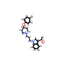 CC(=O)c1cn(CCCN2CCC(Oc3ccc(F)cc3)CC2)c2ccccc12